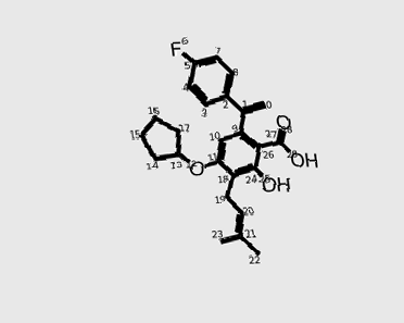 C=C(c1ccc(F)cc1)c1cc(OC2CCCC2)c(CC=C(C)C)c(O)c1C(=O)O